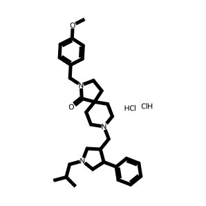 COc1ccc(CN2CCC3(CCN(CC4CN(CC(C)C)CC4c4ccccc4)CC3)C2=O)cc1.Cl.Cl